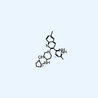 CC(=N)/C=C\C(=N)c1cc2cc(C)ccc2nc1N1CCC(N[C@H]2CCC[C@@H]2O)CC1